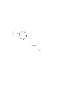 CC(C)(C)c1ccc([C@]2(C(C)(C)C)CC[C@@H]([N+](C)(C)C3CCCCC3)CC2)cc1.[I-]